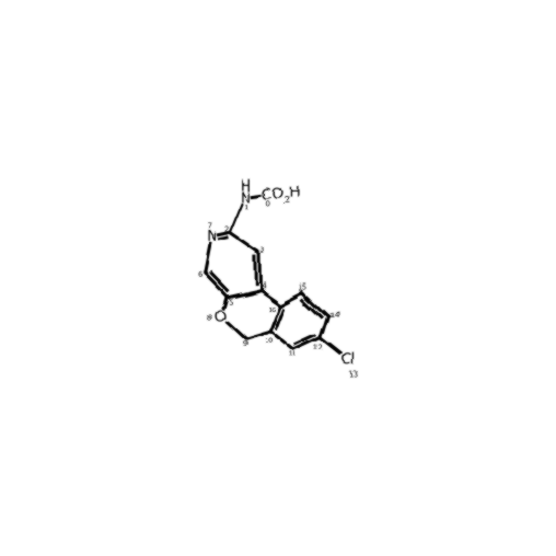 O=C(O)Nc1cc2c(cn1)OCc1cc(Cl)ccc1-2